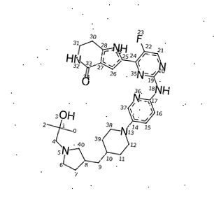 CC(C)(O)CN1CCC(CC2CCN(c3ccc(Nc4ncc(F)c(-c5cc6c([nH]5)CCNC6=O)n4)nc3)CC2)C1